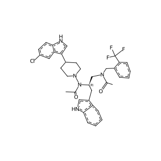 CC(=O)N(Cc1ccccc1C(F)(F)F)C[C@@H](Cc1c[nH]c2ccccc12)N(C(C)=O)N1CCC(c2c[nH]c3ccc(Cl)cc23)CC1